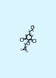 O=CCc1cc(Cl)c(OCC2CC2)c(Cl)c1